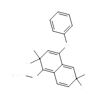 O=C(O)OC1=C2C=CC(Cl)(Cl)C=C2C(Oc2ccccc2)=CC1(Cl)Cl